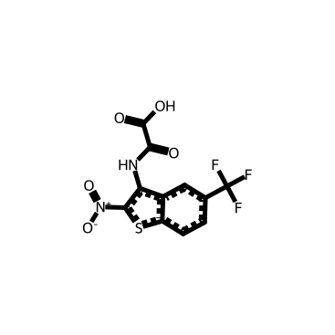 O=C(O)C(=O)Nc1c([N+](=O)[O-])sc2ccc(C(F)(F)F)cc12